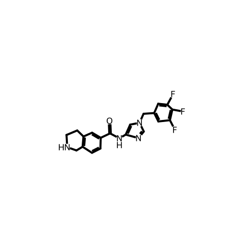 O=C(Nc1cn(Cc2cc(F)c(F)c(F)c2)cn1)c1ccc2c(c1)CCNC2